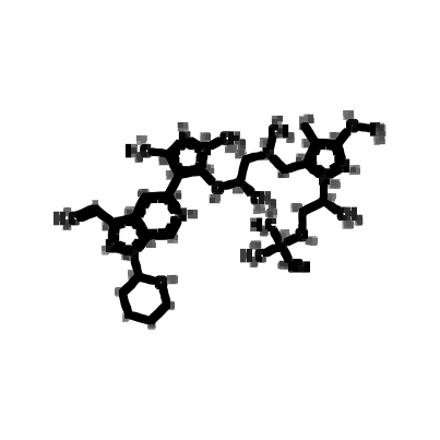 C=Cc1nn(C2CCCCO2)c2cnc(-c3c(C)nn(C)c3O[C@H](C)CN(C)Cc3c(I)c(OCC)nn3[C@@H](C)CO[Si](C)(C)C(C)(C)C)cc12